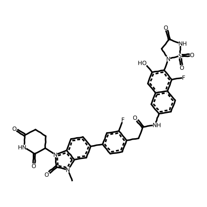 Cn1c(=O)n(C2CCC(=O)NC2=O)c2ccc(-c3ccc(CC(=O)Nc4ccc5c(F)c(N6CC(=O)NS6(=O)=O)c(O)cc5c4)c(F)c3)cc21